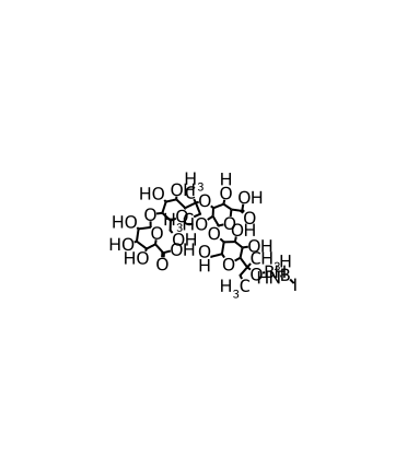 CCC(C)(OBNBI)C1OC(CO)C(OC2OC(C(=O)O)C(O)C(OC(C)(CC)C3OC(CO)C(OC4OC(C(=O)O)C(O)C(O)C4O)C(O)C3O)C2O)C(O)C1O